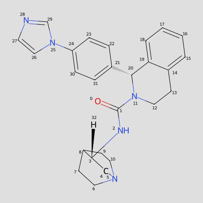 O=C(N[C@@H]1CN2CCC1CC2)N1CCc2ccccc2[C@H]1c1ccc(-n2ccnc2)cc1